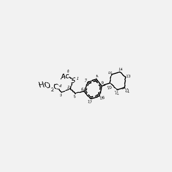 CC(=O)SC(CC(=O)O)Cc1ccc(C2CCCCC2)cc1